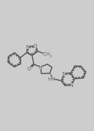 Cc1onc(-c2ccccc2)c1C(=O)N1CC[C@@H](Nc2cnc3ccccc3n2)C1